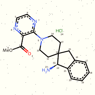 COC(=O)c1nccnc1N1CCC2(CC1)Cc1ccccc1[C@H]2N.Cl